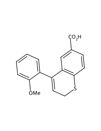 COc1ccccc1C1=CCSc2ccc(C(=O)O)cc21